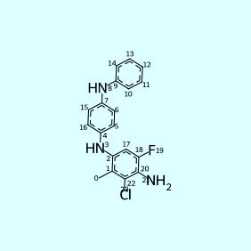 Cc1c(Nc2ccc(Nc3ccccc3)cc2)cc(F)c(N)c1Cl